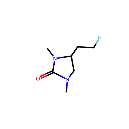 CN1CC(CCF)N(C)C1=O